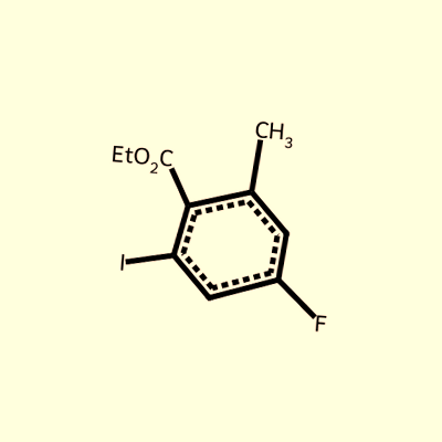 CCOC(=O)c1c(C)cc(F)cc1I